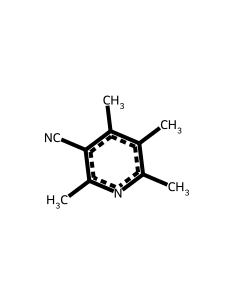 Cc1nc(C)c(C#N)c(C)c1C